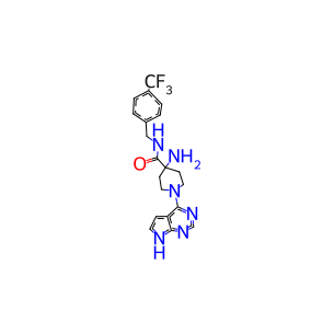 NC1(C(=O)NCc2ccc(C(F)(F)F)cc2)CCN(c2ncnc3[nH]ccc23)CC1